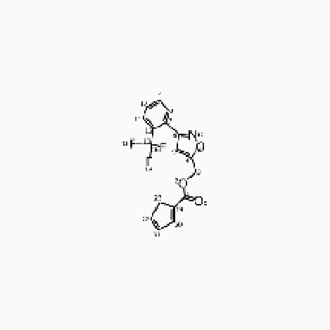 O=C(OCc1cc(-c2ccccc2C(F)(F)F)no1)C1=CC=CC1